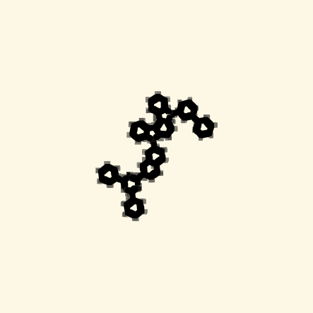 c1ccc(-c2cccc(-n3c4ccccc4c4c5c6ccccc6n(-c6ccc7ccc(-c8nc(-c9ccccc9)nc(-c9ccccc9)n8)cc7c6)c5ccc43)c2)cc1